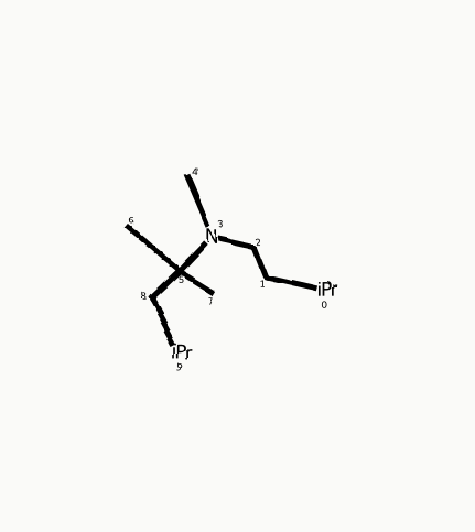 CC(C)CCN(C)C(C)(C)CC(C)C